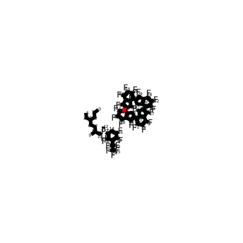 CCCC(CC)CCC(C)C[PH+](C)c1cc(F)c(F)c(C(F)(F)C(F)(F)F)c1F.FC1=C(F)C([B-](C2C(F)=C(F)c3c2cc(F)c(F)c3F)(C2C(F)=C(F)c3c2cc(F)c(F)c3F)C2C(F)=C(F)c3c2cc(F)c(F)c3F)c2cc(F)c(F)c(F)c21